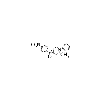 CC1CN(C(=O)c2ccc([N+](=O)[O-])cc2)CCN1c1ccccc1